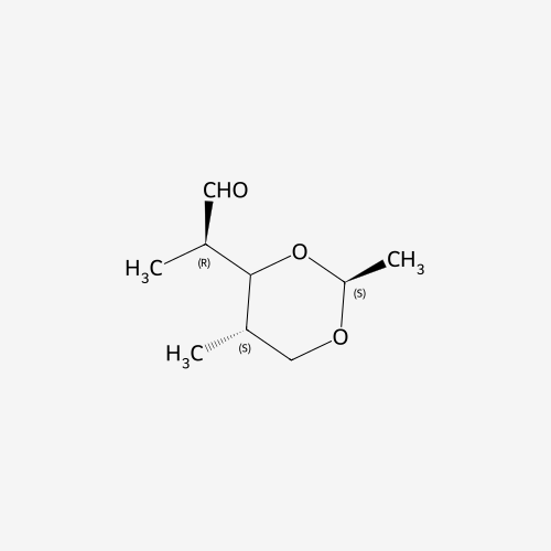 C[C@H]1OC[C@H](C)C([C@@H](C)C=O)O1